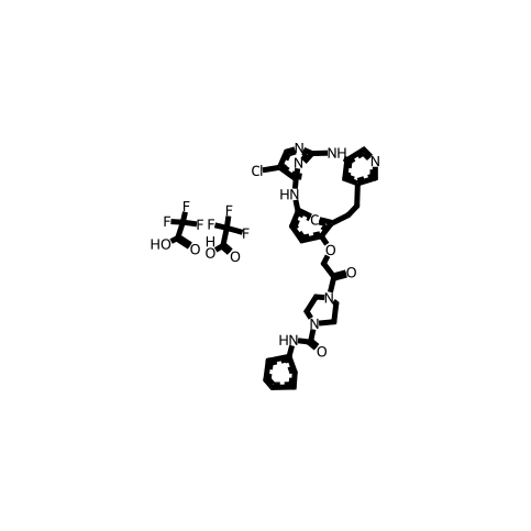 O=C(COc1ccc2cc1CCc1cncc(c1)Nc1ncc(Cl)c(n1)N2)N1CCN(C(=O)Nc2ccccc2)CC1.O=C(O)C(F)(F)F.O=C(O)C(F)(F)F